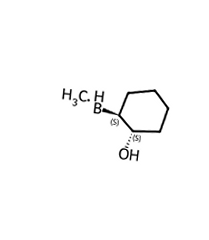 CB[C@H]1CCCC[C@@H]1O